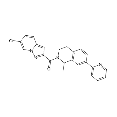 CC1c2cc(-c3ccccn3)ccc2CCN1C(=O)c1cc2ccc(Cl)cn2n1